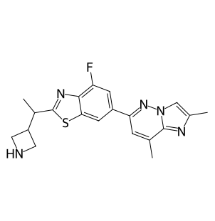 Cc1cn2nc(-c3cc(F)c4nc(C(C)C5CNC5)sc4c3)cc(C)c2n1